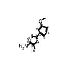 COc1cccc(-c2cnc(N)c(I)n2)c1